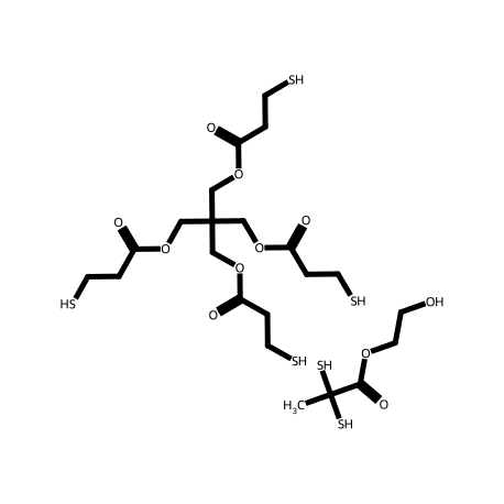 CC(S)(S)C(=O)OCCO.O=C(CCS)OCC(COC(=O)CCS)(COC(=O)CCS)COC(=O)CCS